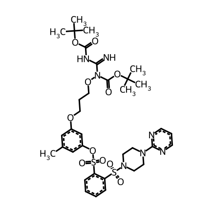 Cc1cc(OCCCON(C(=N)NC(=O)OC(C)(C)C)C(=O)OC(C)(C)C)cc(OS(=O)(=O)c2ccccc2S(=O)(=O)N2CCN(c3ncccn3)CC2)c1